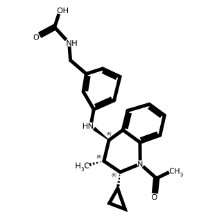 CC(=O)N1c2ccccc2[C@H](Nc2cccc(CNC(=O)O)c2)[C@@H](C)[C@H]1C1CC1